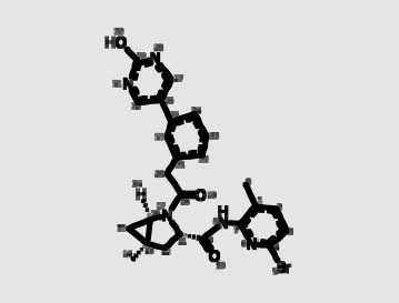 Cc1ccc(Br)nc1NC(=O)[C@@H]1C[C@@]2(C)C[C@H]2N1C(=O)Cc1cccc(-c2cnc(O)nc2)c1